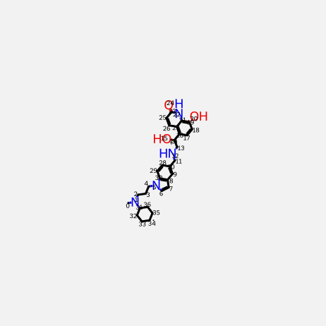 CN(CCCn1ccc2cc(CNC[C@@H](O)c3ccc(O)c4[nH]c(=O)ccc34)ccc21)C1CC[CH]CC1